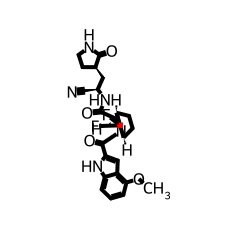 COc1cccc2[nH]c(C(=O)N3[C@@H]4CC[C@H]([C@@H]3C(=O)N[C@@H](C#N)C[C@H]3CCNC3=O)C(F)(F)C4)cc12